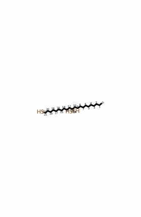 CCCCCCCCCCCCCCCCCCCCCCS.SS